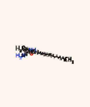 CCCCCCCCCCCCCCCCCCCCCC(=O)NC(CCC)CCCN